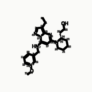 CCc1cnn2c(NCc3ccc[n+](OC)c3)cc(N3CCCC[C@H]3CCO)nc12